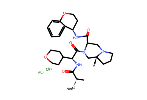 CN[C@@H](C)C(=O)N[C@H](C(=O)N1C[C@H]2CCCN2CC1C(=O)N[C@@H]1CCOc2ccccc21)C1CCOCC1.Cl.Cl